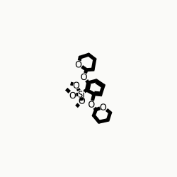 CO[Si](OC)(OC)c1c(OC2CCCCO2)cccc1OC1CCCCO1